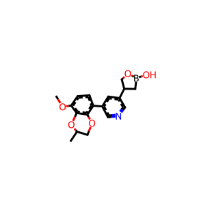 COc1ccc(-c2cncc(C3COB(O)C3)c2)c2c1OC(C)CO2